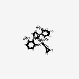 CC(C)c1cccc(C(C)C)c1-n1ccn(-c2c(C(C)C)cccc2C(C)C)[c]1=[Au][C]#CC1CC1